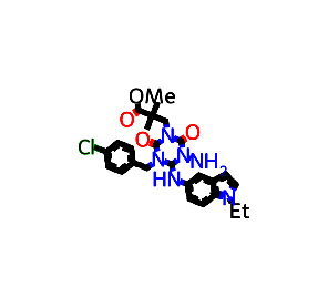 CCn1ccc2cc(NC3N(N)C(=O)N(CC(C)(C)C(=O)OC)C(=O)N3Cc3ccc(Cl)cc3)ccc21